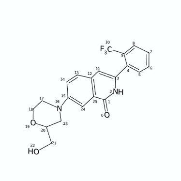 O=c1[nH]c(-c2ccccc2C(F)(F)F)cc2ccc(N3CCOC(CO)C3)cc12